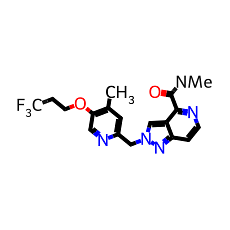 CNC(=O)c1nccc2nn(Cc3cc(C)c(OCCC(F)(F)F)cn3)cc12